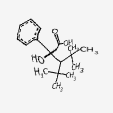 CC(C)(C)C(C(C)(C)C)C(O)(C(=O)O)c1ccccc1